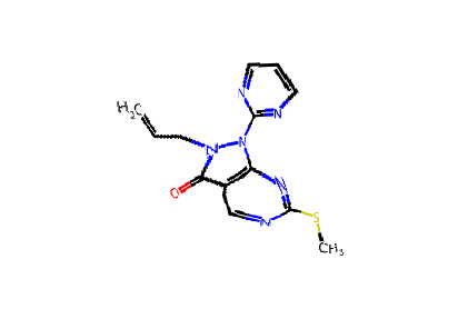 C=CCn1c(=O)c2cnc(SC)nc2n1-c1ncccn1